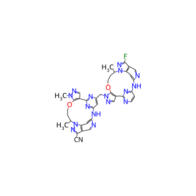 CC1CCOc2c(cnn2Cc2cc3nc(n2)-c2cnn(C)c2OCCC(C)n2nc(C#N)c4cnc(cc42)N3)-c2nccc(n2)Nc2cc3c(cn2)c(F)nn31